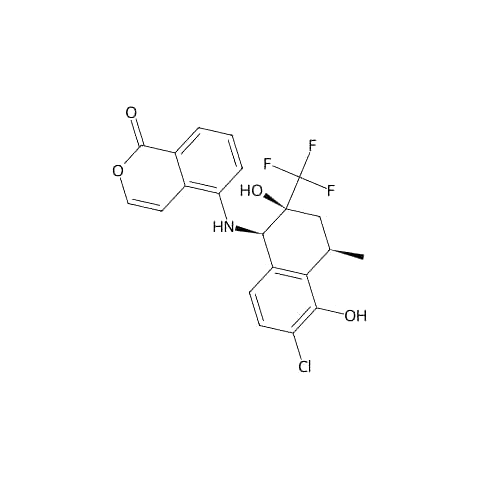 C[C@@H]1C[C@@](O)(C(F)(F)F)[C@H](Nc2cccc3c(=O)occc23)c2ccc(Cl)c(O)c21